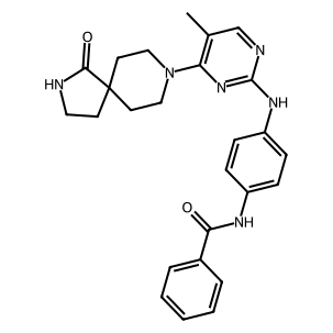 Cc1cnc(Nc2ccc(NC(=O)c3ccccc3)cc2)nc1N1CCC2(CCNC2=O)CC1